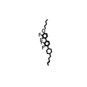 C/C=C/CCC1CCC(c2ccc(-c3ccc(OCCCCC)c(F)c3F)c(F)c2F)CC1